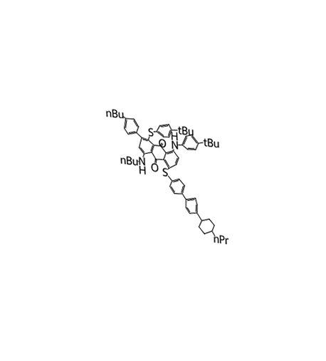 CCCCNc1cc(-c2ccc(CCCC)cc2)c(Sc2ccc(C(C)(C)C)cc2)c2c1C(=O)c1c(Sc3ccc(-c4ccc(C5CCC(CCC)CC5)cc4)cc3)ccc(Nc3ccc(C(C)(C)C)cc3)c1C2=O